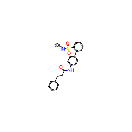 CC(C)(C)NS(=O)(=O)c1ccccc1-c1ccc(NC(=O)CCc2ccccc2)cc1